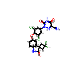 N#Cc1nn(-c2cc(Cl)c(Oc3ccc4c(c3)C3(CC(F)(F)C3)C(=O)N4)c(Cl)c2)c(=O)[nH]c1=O